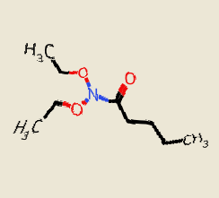 CCCCC(=O)N(OCC)OCC